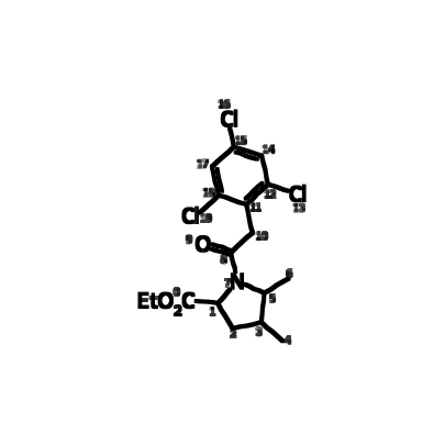 CCOC(=O)C1CC(C)C(C)N1C(=O)Cc1c(Cl)cc(Cl)cc1Cl